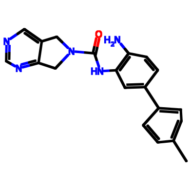 Cc1ccc(-c2ccc(N)c(NC(=O)N3Cc4cncnc4C3)c2)cc1